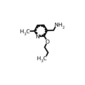 CCCOc1nc(C)ccc1CN